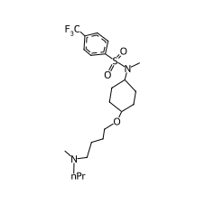 CCCN(C)CCCCOC1CCC(N(C)S(=O)(=O)c2ccc(C(F)(F)F)cc2)CC1